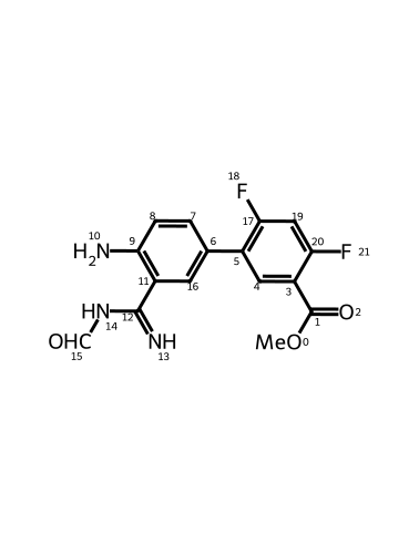 COC(=O)c1cc(-c2ccc(N)c(C(=N)NC=O)c2)c(F)cc1F